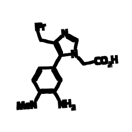 CNc1ccc(-c2c(CC(C)C)ncn2CC(=O)O)cc1N